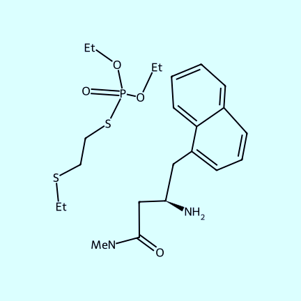 CCOP(=O)(OCC)SCCSCC.CNC(=O)C[C@H](N)Cc1cccc2ccccc12